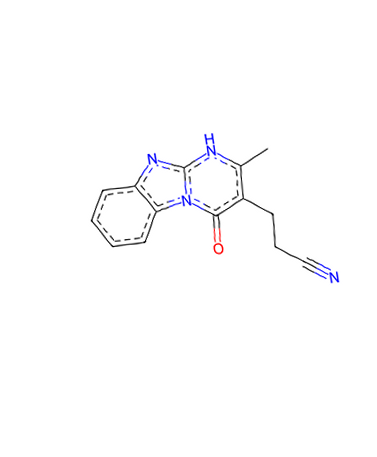 Cc1[nH]c2nc3ccccc3n2c(=O)c1CCC#N